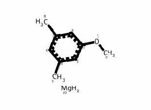 COc1[c]c(C)cc(C)c1.[MgH2]